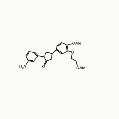 COCCOc1cc([C@H]2CC(=O)N(c3cccc(N)c3)C2)ccc1OC